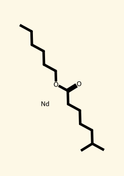 CCCCCCOC(=O)CCCCC(C)C.[Nd]